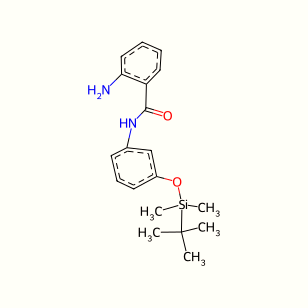 CC(C)(C)[Si](C)(C)Oc1cccc(NC(=O)c2ccccc2N)c1